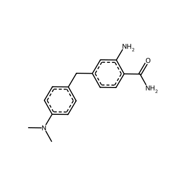 CN(C)c1ccc(Cc2ccc(C(N)=O)c(N)c2)cc1